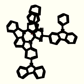 c1ccc(-c2cccc(-n3c4ccccc4c4ccc5c6cc(-n7c8ccccc8c8ccccc87)ccc6n(-c6nc(-c7ccccc7)nc(-c7ccc8c9ccccc9n(-c9ccccc9)c8c7)n6)c5c43)c2)cc1